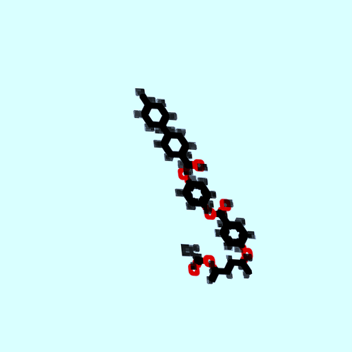 CCC(=O)OC(C)CCC(C)Oc1ccc(C(=O)Oc2ccc(OC(=O)C3CCC(C4CCC(C)CC4)CC3)cc2)cc1